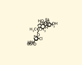 CC[C@H]1[C@@H](O)[C@@H]2[C@H](CC[C@]3(C)[C@@H]([C@H](C)CCOc4ncc(C(=O)N[SH]=O)cc4Cl)CC[C@@H]23)[C@@]2(C)CC[C@@H](O)C[C@@H]12